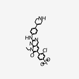 CCn1c(=O)c(-c2ccc(S(C)(=O)=O)cc2Cl)cc2cnc(Nc3ccc(C4=CCNCC4)cc3)nc21